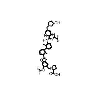 Cc1c(Nc2nc(C(F)F)nc3cc(CN4CCC(O)C4)cnc23)cccc1-c1cccc(-c2nc3cc(CN4CCCC4C(=O)O)c(OC(F)F)cc3o2)c1C